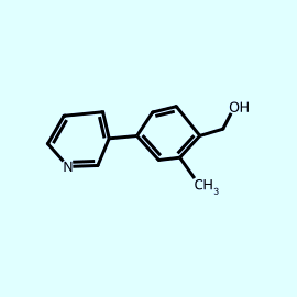 Cc1cc(-c2cccnc2)ccc1CO